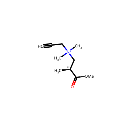 C#CC[N+](C)(C)C[C@H](C)C(=O)OC